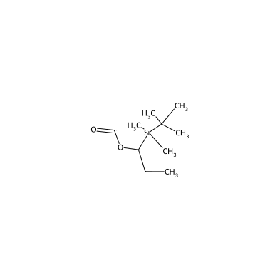 CCC(O[C]=O)[Si](C)(C)C(C)(C)C